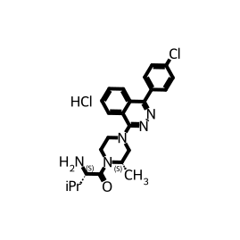 CC(C)[C@H](N)C(=O)N1CCN(c2nnc(-c3ccc(Cl)cc3)c3ccccc23)C[C@@H]1C.Cl